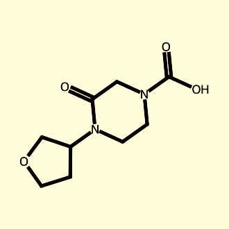 O=C(O)N1CCN(C2CCOC2)C(=O)C1